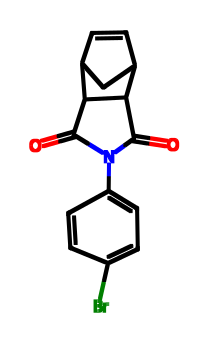 O=C1C2C3C=CC(C3)C2C(=O)N1c1ccc(Br)cc1